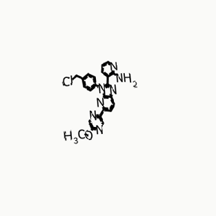 COc1cnc(-c2ccc3nc(-c4cccnc4N)n(-c4ccc(CCl)cc4)c3n2)cn1